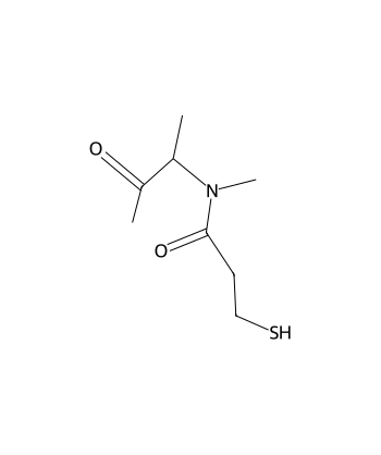 CC(=O)C(C)N(C)C(=O)CCS